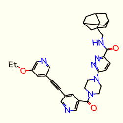 CCOc1cncc(C#Cc2cncc(C(=O)N3CCN(c4ccc(C(=O)NCC56CC7CC(CC(C7)C5)C6)nn4)CC3)c2)c1